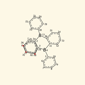 c1ccc(B(c2ccccc2)c2ccccc2B(c2ccccc2)c2ccccc2)cc1